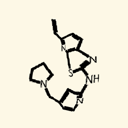 C=Cc1ccc2nc(Nc3cc(CN4CCCC4)ccn3)sc2n1